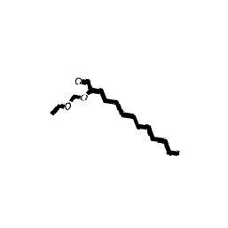 CCCCCCCCCCC=C(C=O)OCOCC